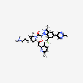 CC(=O)c1nn(CC(=O)N2[C@H](C(=O)Cc3nc(C(F)(F)F)ccc3C)C[C@@]3(CCCN(C)C)C[C@@H]23)c2c(CF)cc(-c3cnc(C)nc3)cc12